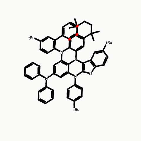 CC(C)(C)c1ccc(N2c3cc(N(c4ccccc4)c4ccccc4)cc4c3B(c3cc5c(cc3N4c3ccc(C(C)(C)C)cc3-c3ccccc3)C(C)(C)CCC5(C)C)c3c2oc2ccc(C(C)(C)C)cc32)cc1